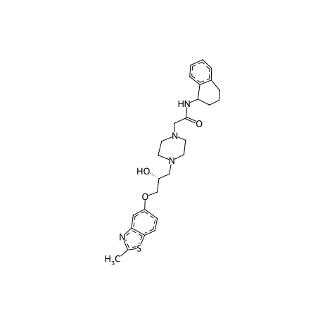 Cc1nc2cc(OC[C@H](O)CN3CCN(CC(=O)NC4CCCc5ccccc54)CC3)ccc2s1